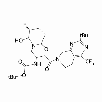 CC(C)(C)OC(=O)NC(CC(=O)N1CCc2c(nc(C(C)(C)C)nc2C(F)(F)F)C1)CN1C(=O)CC[C@H](F)C1O